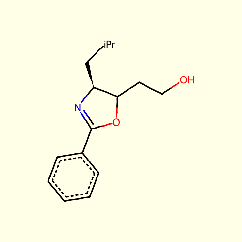 CC(C)C[C@@H]1N=C(c2ccccc2)OC1CCO